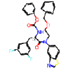 O=C(N[C@@H](Cc1cc(F)cc(F)c1)C(=O)N(CCOCc1ccccc1)c1ccc2scnc2c1)Oc1ccccc1